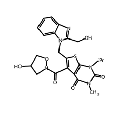 CC(C)n1c(=O)n(C)c(=O)c2c(C(=O)N3CC(O)CO3)c(Cn3c(CO)nc4ccccc43)sc21